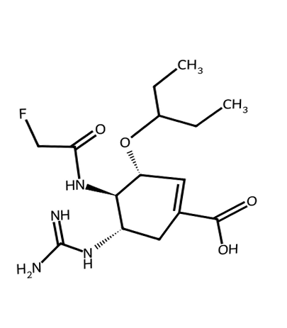 CCC(CC)O[C@@H]1C=C(C(=O)O)C[C@H](NC(=N)N)[C@H]1NC(=O)CF